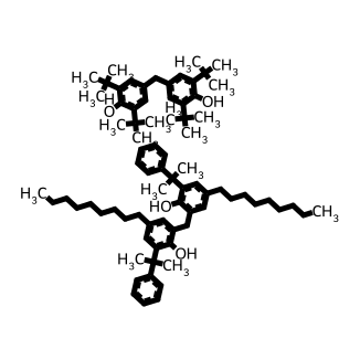 CC(C)(C)c1cc(Cc2cc(C(C)(C)C)c(O)c(C(C)(C)C)c2)cc(C(C)(C)C)c1O.CCCCCCCCCc1cc(Cc2cc(CCCCCCCCC)cc(C(C)(C)c3ccccc3)c2O)c(O)c(C(C)(C)c2ccccc2)c1